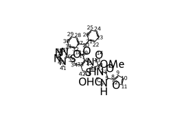 CO[C@@]1(NC(=O)C(NC=O)c2ccco2)C(=O)N2C(C(=O)OC(c3ccccc3)c3ccccc3)=C(CSc3nnnn3C)CSC21